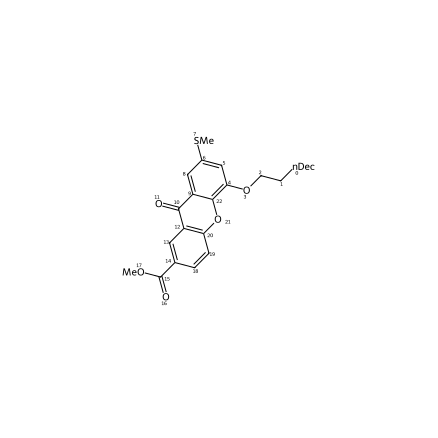 CCCCCCCCCCCCOc1cc(SC)cc2c(=O)c3cc(C(=O)OC)ccc3oc12